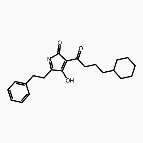 O=C(CCCC1CCCCC1)C1=C(O)C(CCc2ccccc2)=NC1=O